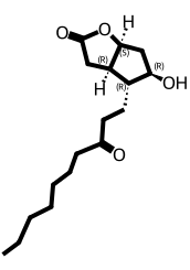 CCCCCCCC(=O)CC[C@@H]1[C@H]2CC(=O)O[C@H]2C[C@H]1O